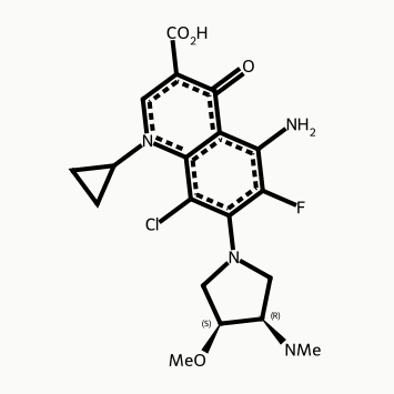 CN[C@@H]1CN(c2c(F)c(N)c3c(=O)c(C(=O)O)cn(C4CC4)c3c2Cl)C[C@@H]1OC